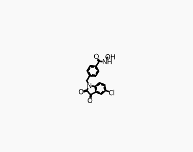 O=C(NO)c1ccc(CN2C(=O)C(=O)c3cc(Cl)ccc32)cc1